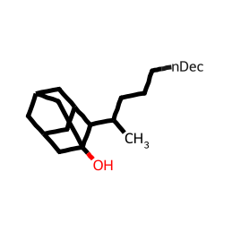 CCCCCCCCCCCCCC(C)C1C2CC3CC(C2)CC1(O)C3